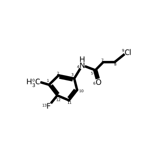 Cc1cc(NC(=O)CCCl)ccc1F